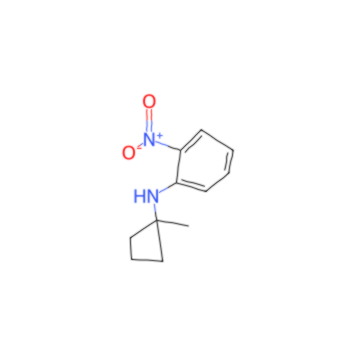 CC1(Nc2ccccc2[N+](=O)[O-])CCC1